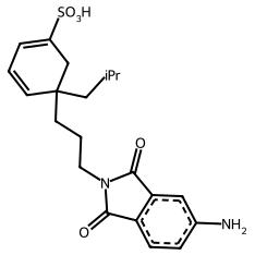 CC(C)CC1(CCCN2C(=O)c3ccc(N)cc3C2=O)C=CC=C(S(=O)(=O)O)C1